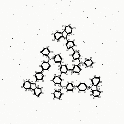 c1ccc(N(c2ccc(-c3ccc(-n4c5ccccc5c5ccccc54)cc3)cc2)c2cccc(-c3cc(-c4cccc(N(c5ccccc5)c5ccc(-c6ccc(-n7c8ccccc8c8ccccc87)cc6)cc5)c4)cc(-c4cccc(N(c5ccccc5)c5ccc(-c6ccc(-n7c8ccccc8c8ccccc87)cc6)cc5)c4)c3)c2)cc1